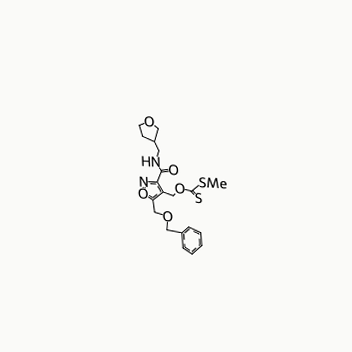 CSC(=S)OCc1c(C(=O)NCC2CCOC2)noc1COCc1ccccc1